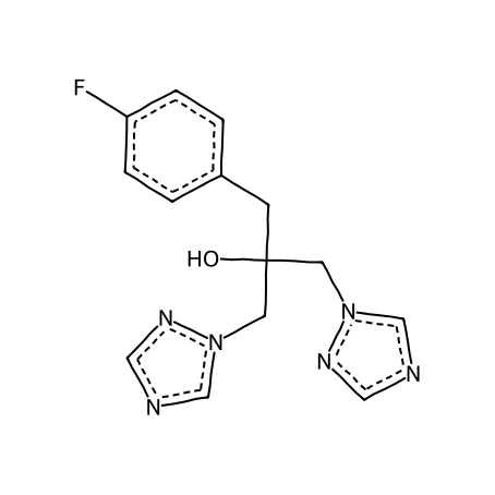 OC(Cc1ccc(F)cc1)(Cn1cncn1)Cn1cncn1